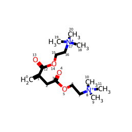 C=C(CC(=O)OCC[N+](C)(C)C)C(=O)OCC[N+](C)(C)C